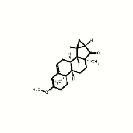 COC1=CC2=CC[C@H]3[C@@H]4[C@@H]5C[C@@H]5C(=O)[C@@]4(C)CC[C@@H]3[C@@]2(C)CC1